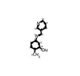 Cc1ccc(N=Cc2cccnc2)cc1O